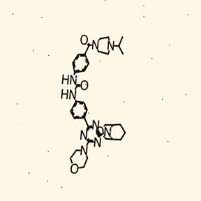 CC(C)N1CCN(C(=O)c2ccc(NC(=O)Nc3ccc(-c4nc(N5CCOCC5)nc(N5C6CCCC5COC6)n4)cc3)cc2)CC1